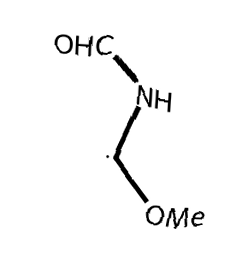 CO[CH]NC=O